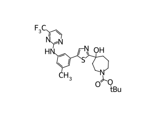 Cc1cc(Nc2nccc(C(F)(F)F)n2)cc(-c2cnc(C3(O)CCCN(C(=O)OC(C)(C)C)CC3)s2)c1